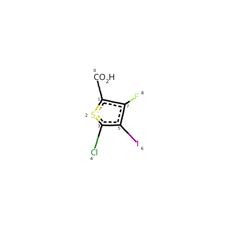 O=C(O)c1sc(Cl)c(I)c1F